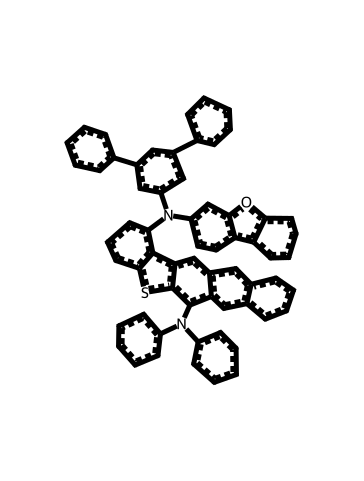 c1ccc(-c2cc(-c3ccccc3)cc(N(c3ccc4c(c3)oc3ccccc34)c3cccc4sc5c(N(c6ccccc6)c6ccccc6)c6cc7ccccc7cc6cc5c34)c2)cc1